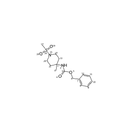 CC1(NC(=O)OCc2ccccc2)CCN(S(C)(=O)=O)CC1